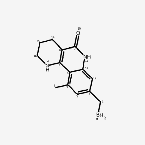 BCc1cc(C)c2c3c(c(=O)[nH]c2c1)CCCN3